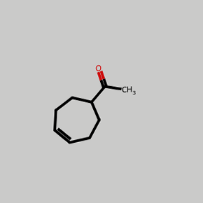 CC(=O)C1CCC=CCC1